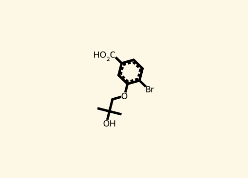 CC(C)(O)COc1cc(C(=O)O)ccc1Br